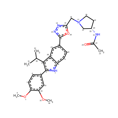 COc1ccc(-c2[nH]c3ccc(-c4nnc(CN5CC[C@H](NC(C)=O)C5)o4)cc3c2C(C)C)cc1OC